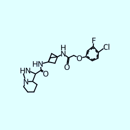 O=C(COc1ccc(Cl)c(F)c1)NC12CC(NC(=O)C3NCN4CCCCC34)(C1)C2